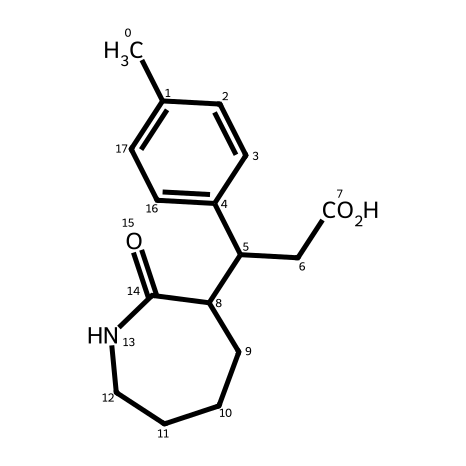 Cc1ccc(C(CC(=O)O)C2CCCCNC2=O)cc1